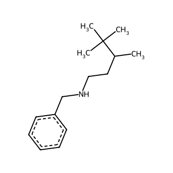 CC(CCNCc1ccccc1)C(C)(C)C